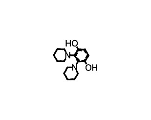 Oc1ccc(O)c(N2CCCCC2)c1N1CCCCC1